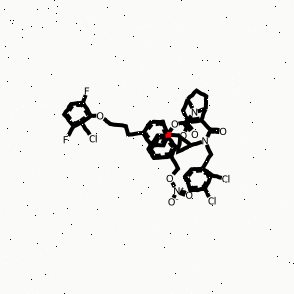 O=C(C1=C(Oc2ccc(CCCOc3c(F)ccc(F)c3Cl)cc2)CC2CCC1N2C(=O)Oc1cccc(CO[N+](=O)[O-])c1)N(Cc1cccc(Cl)c1Cl)C1CC1